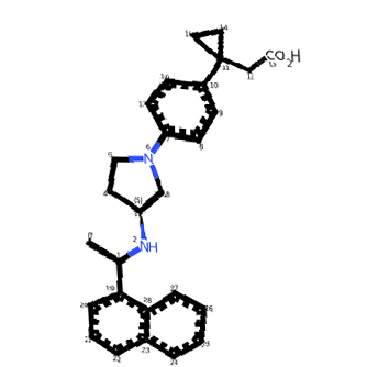 CC(N[C@H]1CCN(c2ccc(C3(CC(=O)O)CC3)cc2)C1)c1cccc2ccccc12